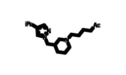 CC(=O)CCCCN1CCCC(Cn2cc(C(C)C)cn2)C1